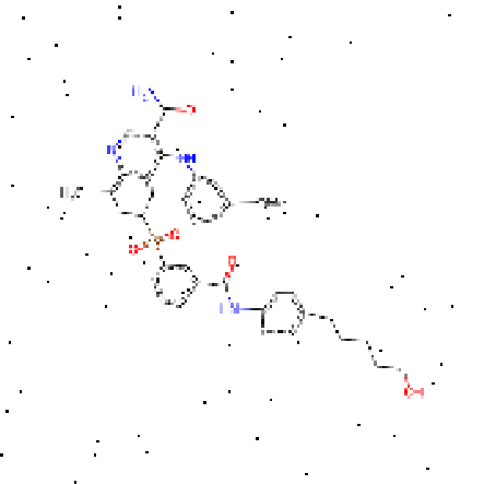 COc1cccc(Nc2c(C(N)=O)cnc3c2=CC(S(=O)(=O)c2cccc(C(=O)Nc4ccc(CCCCCO)cc4)c2)CC=3C)c1